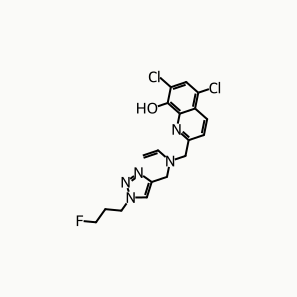 C=CN(Cc1cn(CCCF)nn1)Cc1ccc2c(Cl)cc(Cl)c(O)c2n1